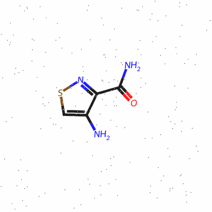 NC(=O)c1nscc1N